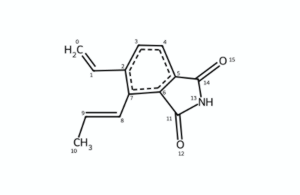 C=Cc1ccc2c(c1C=CC)C(=O)NC2=O